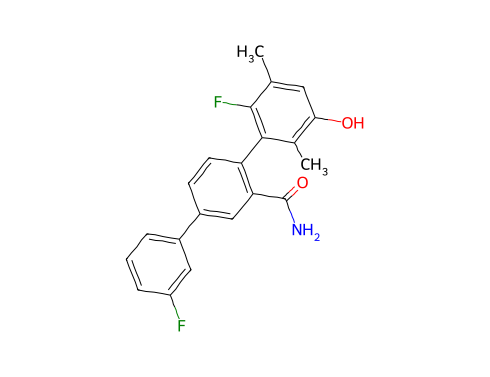 Cc1cc(O)c(C)c(-c2ccc(-c3cccc(F)c3)cc2C(N)=O)c1F